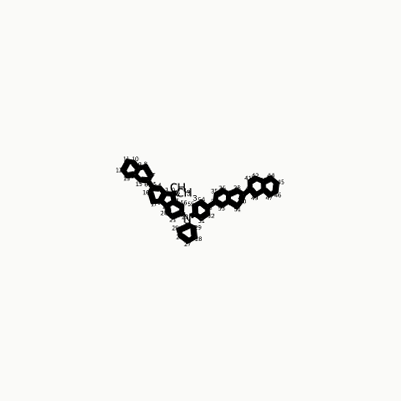 CC1(C)c2cc(-c3ccc4ccccc4c3)ccc2-c2ccc(N(c3ccccc3)c3ccc(-c4ccc5cc(-c6ccc7ccccc7c6)ccc5c4)cc3)cc21